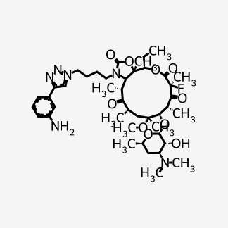 CC[C@H]1OC(=O)[C@@](C)(F)C(=O)[C@H](C)[C@@H](O[C@@H]2O[C@H](C)C[C@H](N(C)C)[C@H]2O)[C@](C)(OC)C[C@@H](C)C(=O)[C@H](C)C2N(CCCCn3cc(-c4cccc(N)c4)nn3)C(=O)O[C@@]21C